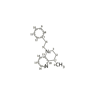 CC1CCN(CCc2ccccc2)c2cccnc21